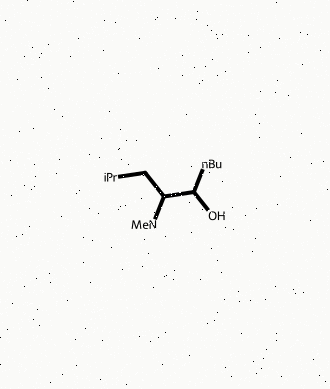 CCCCC(O)C(CC(C)C)NC